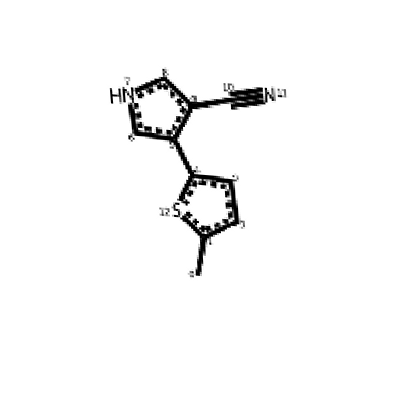 Cc1ccc(-c2c[nH]cc2C#N)s1